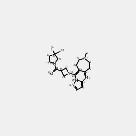 CN1CCc2nc3ccnn3c(N3CC(C(=O)N4CCC(F)(F)C4)C3)c2CC1